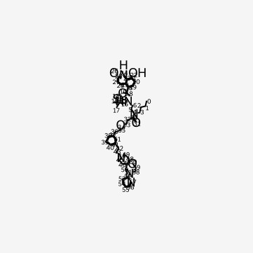 CCCCN(CCNCC(O[Si](C)(C)C(C)(C)C)c1ccc(O)c2[nH]c(=O)ccc12)C(=O)CCOCCc1cccc(CCN2CCC3(CC2)CN(c2ccccn2)CCO3)c1